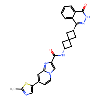 Cc1ncc(-c2ccn3cc(C(=O)N[C@H]4CC5(C4)C[C@H](c4n[nH]c(=O)c6ccccc64)C5)nc3c2)s1